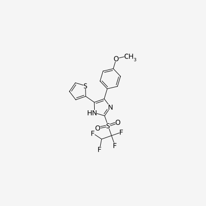 COc1ccc(-c2nc(S(=O)(=O)C(F)(F)C(F)F)[nH]c2-c2cccs2)cc1